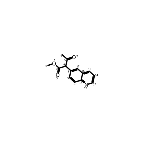 COC(=O)C(C(C)=O)c1ccc2ncccc2c1